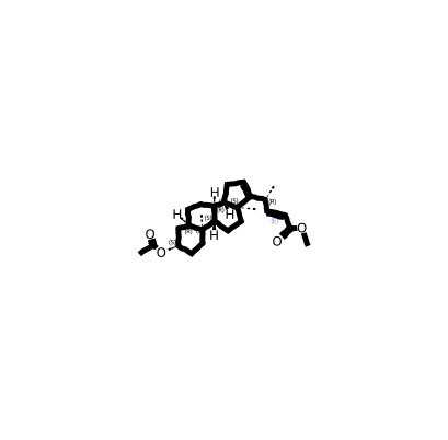 COC(=O)/C=C/[C@@H](C)C1=CC[C@H]2[C@@H]3CC[C@@H]4C[C@@H](OC(C)=O)CC[C@]4(C)[C@H]3CC[C@]12C